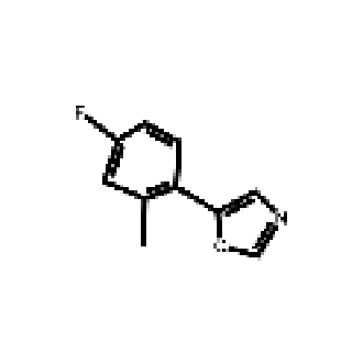 Cc1cc(F)ccc1-c1cnco1